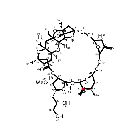 C=C1C[C@@H]2CC[C@@]34C[C@H]5O[C@H]6[C@@H](O3)[C@H]3O[C@H](CC[C@@H]3O[C@H]6[C@H]5O4)CC(=O)C[C@@H]3[C@@H](OC)[C@@H](C[C@H](O)CO)O[C@H]3C[C@H]3OC(CCC1O2)C[C@@H](C)C3=C